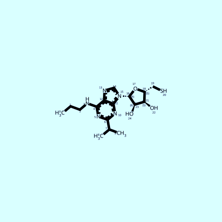 CCCNc1nc(C(C)C)nc2c1ncn2[C@@H]1O[C@H](CS)[C@@H](O)[C@H]1O